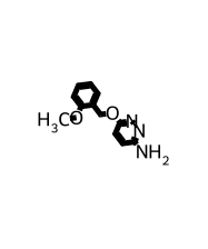 COc1ccccc1COc1ccc(N)nn1